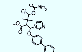 COC(=O)C(C(Oc1ccc(-c2ccccc2)cc1)n1ccnc1)C(C)(C)C(Cl)OC(N)=O